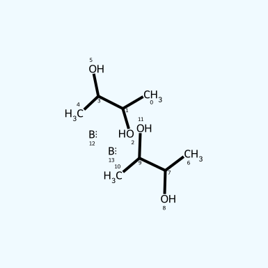 CC(O)C(C)O.CC(O)C(C)O.[B].[B]